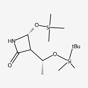 C[C@@H](O[Si](C)(C)C(C)(C)C)C1C(=O)N[C@@H]1O[Si](C)(C)C